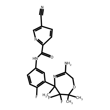 CC1(C)OCC(N)=NC(C)(c2cc(NC(=O)c3ccc(C#N)cn3)ccc2F)C1(F)F